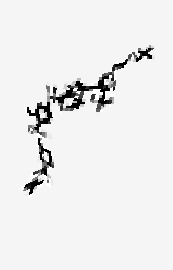 CCc1cc(Nc2nccn3c(-c4cn(CCOCC(C)(C)C)nc4C(F)(F)F)cnc23)ccc1C(=O)NCC1CCN(C(=O)OC(C)(C)C)C1